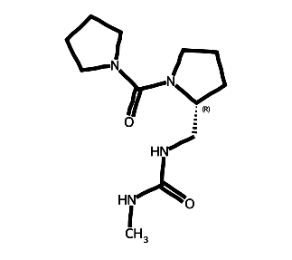 CNC(=O)NC[C@H]1CCCN1C(=O)N1CCCC1